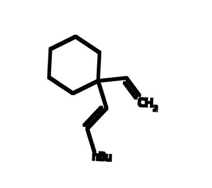 C=CC1(C=CCCCC)CCCCC1